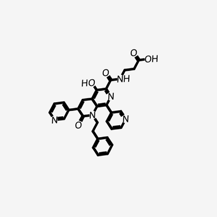 O=C(O)CCNC(=O)c1nc(-c2cccnc2)c2c(cc(-c3cccnc3)c(=O)n2CCc2ccccc2)c1O